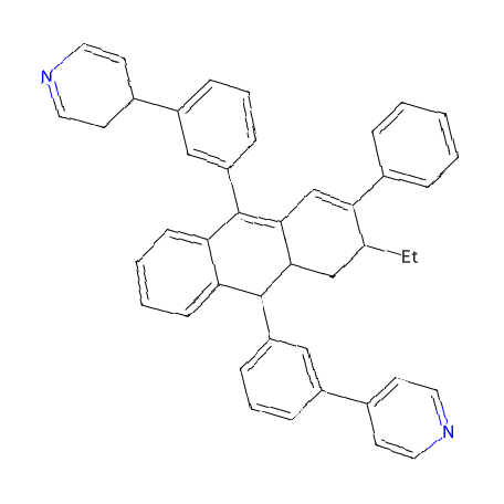 CCC1CC2C(=C(c3cccc(C4C=CN=CC4)c3)c3ccccc3C2c2cccc(-c3ccncc3)c2)C=C1c1ccccc1